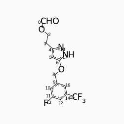 O=COCCc1cc(OCc2cc(F)cc(C(F)(F)F)c2)[nH]n1